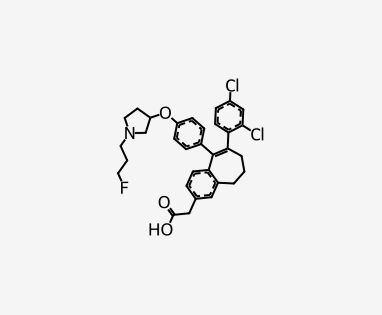 O=C(O)Cc1ccc2c(c1)CCCC(c1ccc(Cl)cc1Cl)=C2c1ccc(OC2CCN(CCCF)C2)cc1